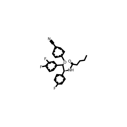 CCCCC(=O)N[C@@H](c1ccc(F)cc1)[C@H](Oc1ccc(C#N)cc1)c1ccc(F)c(F)c1